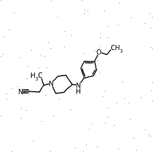 CCOc1ccc(NC2CCN(C(C)CC#N)CC2)cc1